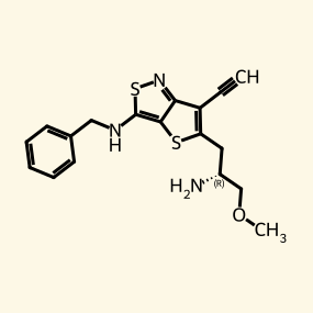 C#Cc1c(C[C@@H](N)COC)sc2c(NCc3ccccc3)snc12